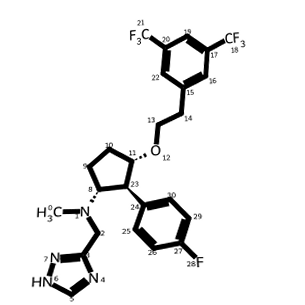 CN(Cc1nc[nH]n1)[C@@H]1CC[C@H](OCCc2cc(C(F)(F)F)cc(C(F)(F)F)c2)[C@H]1c1ccc(F)cc1